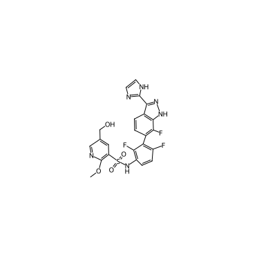 COc1ncc(CO)cc1S(=O)(=O)Nc1ccc(F)c(-c2ccc3c(-c4ncc[nH]4)n[nH]c3c2F)c1F